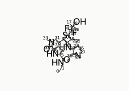 CCNC(=O)c1cc2c(-c3sc(C(F)(F)C(C)(C)O)c(C)c3Nc3c(C)ccnc3C)cn(C)c(=O)c2[nH]1